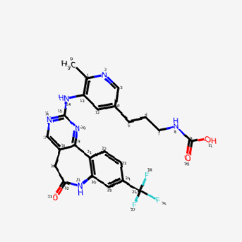 Cc1ncc(CCCNC(=O)O)cc1Nc1ncc2c(n1)-c1ccc(C(F)(F)F)cc1NC(=O)C2